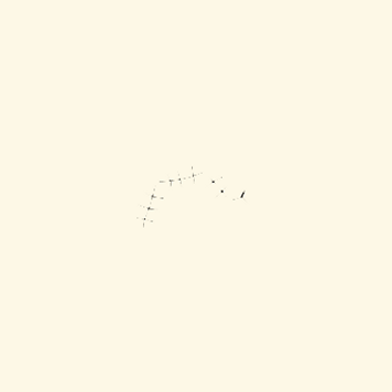 CC(=O)OC(F)(F)C(F)(F)OC(F)(F)C(F)(F)C(F)(F)OC(F)(F)C(F)(F)C(F)(F)F